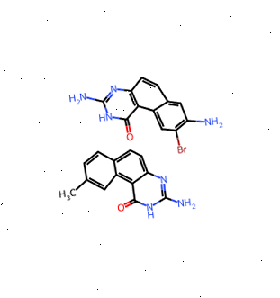 Cc1ccc2ccc3nc(N)[nH]c(=O)c3c2c1.Nc1nc2ccc3cc(N)c(Br)cc3c2c(=O)[nH]1